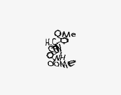 COCc1ccccc1/C(C)=N/OCc1c(C)cccc1C(=N)C(=O)OC